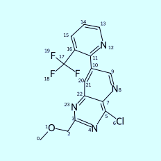 COCc1nc(Cl)c2ncc(-c3ncccc3C(F)(F)F)cc2n1